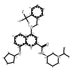 CC(C)N1CCC[C@@H](NC(=O)c2cc(OCc3ccccc3C(F)(F)F)c3cccc(OC4CCCC4)c3n2)C1